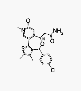 Cc1sc2c(c1C)C(c1ccc(Cl)cc1)O[C@H](CC(N)=O)c1cc(=O)n(C)cc1-2